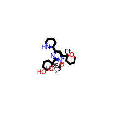 CCC1(c2cc(C3CC=CCN3)nc(C3(CC)CCCCO3)[n+]2OS(=O)(=O)O)CCCCO1.[OH-]